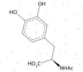 CC(=O)N[C@H](Cc1ccc(O)c(O)c1)C(=O)O